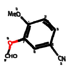 COc1ccc(C#N)cc1OC=O